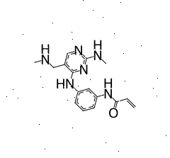 C=CC(=O)Nc1cccc(Nc2nc(NC)ncc2CNC)c1